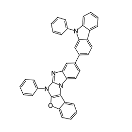 c1ccc(-n2c3ccccc3c3ccc(-c4ccc5c(c4)nc4n(-c6ccccc6)c6oc7ccccc7c6n54)cc32)cc1